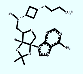 CC(C)N(C[C@H]1OC[C@]2(n3cnc4c(N)ncnc43)OC(C)(C)O[C@H]12)[C@H]1C[C@@H](CCCC(=O)O)C1